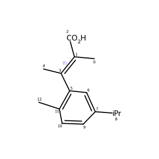 C/C(C(=O)O)=C(/C)c1cc(C(C)C)ccc1C